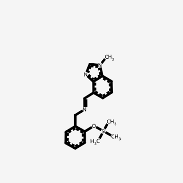 Cn1cnc2c(C=NCc3ccccc3O[Si](C)(C)C)cccc21